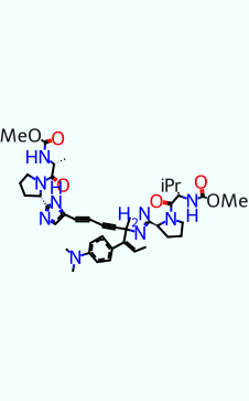 C/C=C(/c1ccc(N(C)C)cc1)C(C)(C#CC#Cc1cnc([C@@H]2CCCN2C(=O)[C@@H](C)NC(=O)OC)[nH]1)/N=C(\N)[C@@H]1CCCN1C(=O)[C@@H](NC(=O)OC)C(C)C